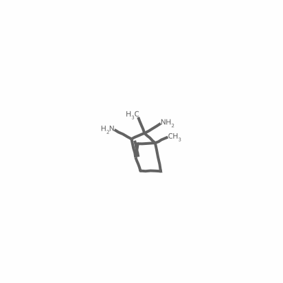 CC12CCC(=C(N)C1(C)N)C2